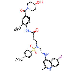 COc1ccc(S(=O)(=O)N(CCNc2cc(C)nc3ccc(I)cc23)CCC(=O)Nc2ccc(C(=O)N3CCC(O)CC3)cc2OC)cc1